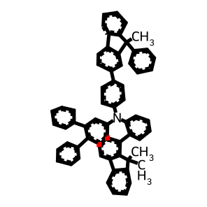 CC1(C)c2ccccc2-c2cccc(-c3ccccc3N(c3ccc(-c4ccc5c(c4)C(C)(c4ccccc4)c4ccccc4-5)cc3)c3ccc(-c4ccccc4)c(-c4ccccc4)c3)c21